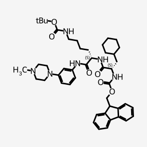 CN1CCN(c2cccc(NC(=O)[C@H](CCCCNC(=O)OC(C)(C)C)NC(=O)[C@H](CC3CCCCC3)NC(=O)OCC3c4ccccc4-c4ccccc43)c2)CC1